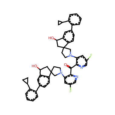 O=C(c1ncc(F)cc1N1CCC2(CC(O)c3cc(-c4ccccc4C4CC4)ccc32)C1)c1ncc(F)cc1N1CCC2(CC(O)c3cc(-c4ccccc4C4CC4)ccc32)C1